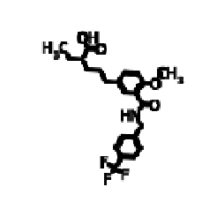 CCC(CCCc1ccc(OC)c(C(=O)NCc2ccc(C(F)(F)F)cc2)c1)C(=O)O